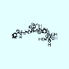 CC(C)(C)OC(=O)N(CCCCCCNC(=O)c1ccccc1)CCC(=O)Nc1ccc(O[C@H]2O[C@H](CO)[C@@H](O)[C@H](O)[C@H]2O)cc1